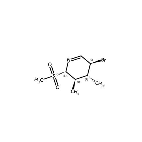 C[C@@H]1[C@@H](C)[C@H](S(C)(=O)=O)N=C[C@H]1Br